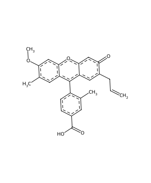 C=CCc1cc2c(-c3ccc(C(=O)O)cc3C)c3cc(C)c(OC)cc3oc-2cc1=O